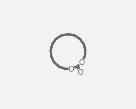 O=C1OCCCCCCCCCCCCCCO1